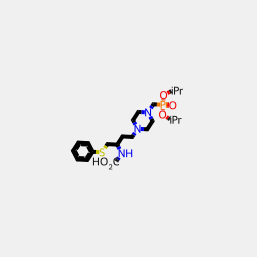 CC(C)OP(=O)(CN1CCN(CCC(CSc2ccccc2)NC(=O)O)CC1)OC(C)C